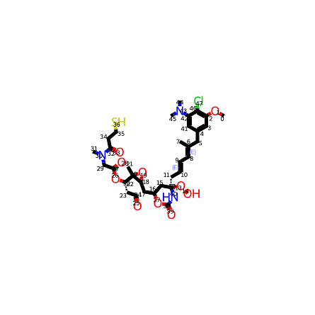 COc1cc(C/C(C)=C/C=C/C[C@@]2(OO)CC(CC3OC3(C)[C@H](CC=O)OC(=O)CN(C)C(=O)CCS)OC(=O)N2)cc(N(C)C)c1Cl